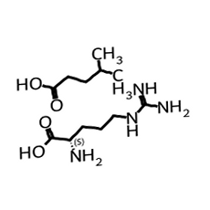 CC(C)CCC(=O)O.N=C(N)NCCC[C@H](N)C(=O)O